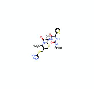 CCCCCNC(=O)NC(C(=O)N[C@]1(OC)C(=O)N2C(C(=O)O)=C(CSc3cnn[nH]3)CSC21)c1cccs1